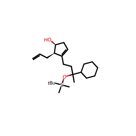 C=CC[C@@H]1C(CCC(C)(O[Si](C)(C)C(C)(C)C)C2CCCCC2)=CC[C@@H]1O